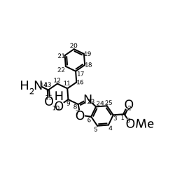 COC(=O)c1ccc2oc(C(O)C(CC(N)=O)Cc3ccccc3)nc2c1